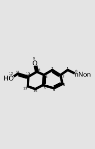 CCCCCCCCCCc1ccc2c(c1)C(=O)C(=CO)CC2